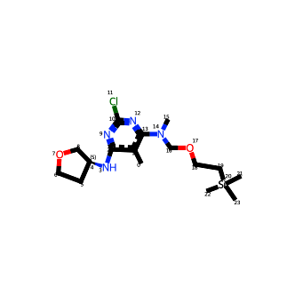 Cc1c(N[C@H]2CCOC2)nc(Cl)nc1N(C)COCC[Si](C)(C)C